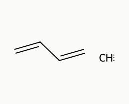 C=CC=C.[CH]